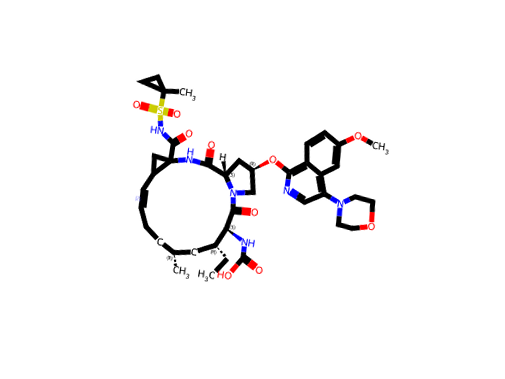 CC[C@@H]1C[C@H](C)CC/C=C\C2CC2(C(=O)NS(=O)(=O)C2(C)CC2)NC(=O)[C@@H]2C[C@@H](Oc3ncc(N4CCOCC4)c4cc(OC)ccc34)CN2C(=O)[C@H]1NC(=O)O